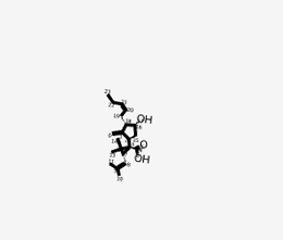 C=C1[C@H]([C@]2(C(=O)O)[C@H](C=C(C)C)C2(C)C)C[C@@H](O)[C@H]1C/C=C\CC